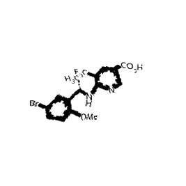 COc1ccc(Br)cc1[C@H](C)Nc1ncc(C(=O)O)cc1C(F)(F)F